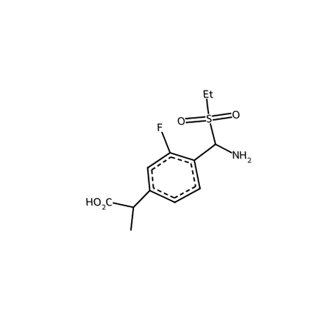 CCS(=O)(=O)C(N)c1ccc(C(C)C(=O)O)cc1F